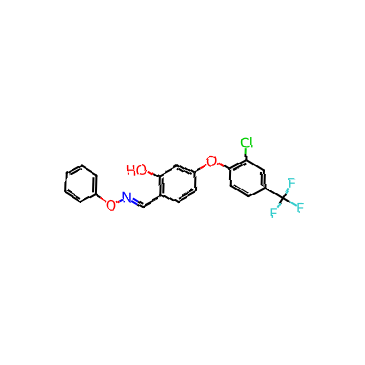 Oc1cc(Oc2ccc(C(F)(F)F)cc2Cl)ccc1/C=N/Oc1ccccc1